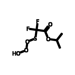 CC(C)OC(=O)C(F)(F)SOOO